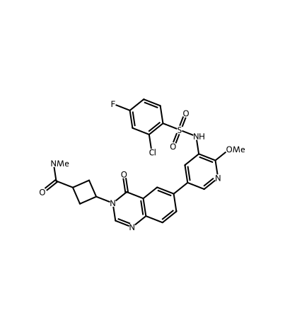 CNC(=O)C1CC(n2cnc3ccc(-c4cnc(OC)c(NS(=O)(=O)c5ccc(F)cc5Cl)c4)cc3c2=O)C1